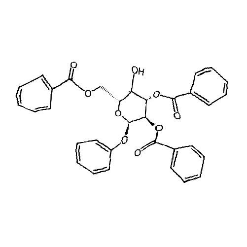 O=C(OC[C@H]1O[C@H](Oc2ccccc2)[C@H](OC(=O)c2ccccc2)[C@@H](OC(=O)c2ccccc2)[C]1O)c1ccccc1